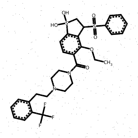 CCOc1c(C(=O)N2CCN(CCc3ccccc3C(F)(F)F)CC2)ccc2c1C(S(=O)(=O)c1ccccc1)CS2(O)O